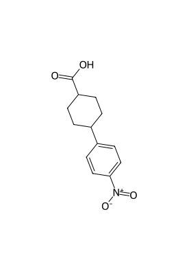 O=C(O)C1CCC(c2ccc([N+](=O)[O-])cc2)CC1